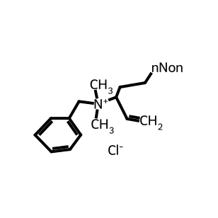 C=CC(CCCCCCCCCCC)[N+](C)(C)Cc1ccccc1.[Cl-]